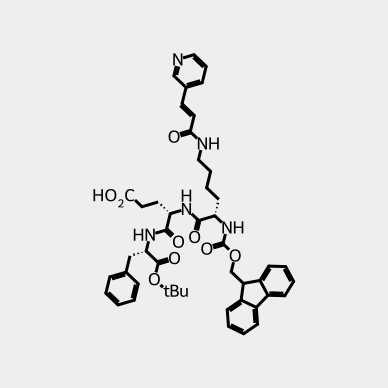 CC(C)(C)OC(=O)[C@H](Cc1ccccc1)NC(=O)[C@H](CCC(=O)O)NC(=O)[C@H](CCCCNC(=O)/C=C/c1cccnc1)NC(=O)OCC1c2ccccc2-c2ccccc21